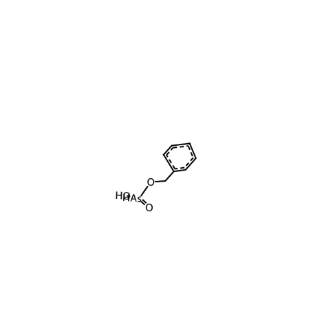 O=[AsH](O)OCc1ccccc1